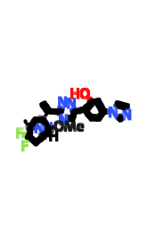 C=C(c1ncc(-c2ccc(-n3ccnc3)cc2O)nn1)[C@H]1C[C@@]2(C)N[C@H](CC2(F)F)[C@@H]1OC